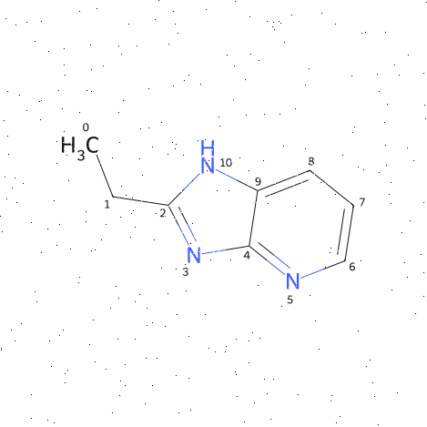 CCc1nc2ncccc2[nH]1